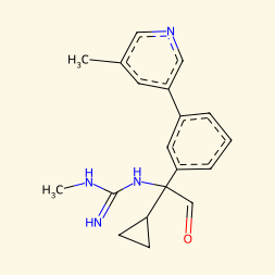 CNC(=N)NC(C=O)(c1cccc(-c2cncc(C)c2)c1)C1CC1